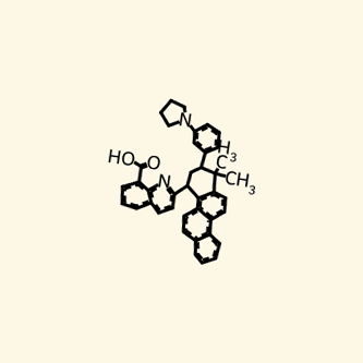 CC1(C)c2ccc3c(ccc4ccccc43)c2C(c2ccc3cccc(C(=O)O)c3n2)CC1c1cccc(N2CCCC2)c1